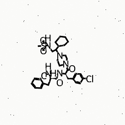 CS(=O)(=O)NCC(C1CCCCC1)N1CCN(C(=O)[C@@H](Cc2ccc(Cl)cc2)NC(=O)[C@H]2Cc3ccccc3CN2)CC1